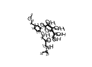 COCCc1ccc(OCC(O)CNC(C)C)cc1.O=C1O[C@H]([C@@H](O)CO)C(O)=C1O